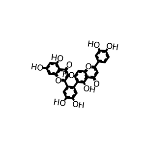 O=c1cc(-c2cc(O)c(O)cc2-c2c(O)cc3oc(-c4ccc(O)c(O)c4)cc(=O)c3c2O)oc2cc(O)cc(O)c12